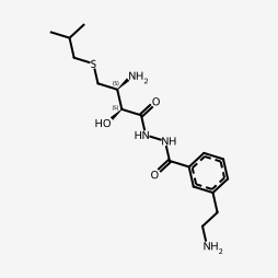 CC(C)CSC[C@@H](N)[C@H](O)C(=O)NNC(=O)c1cccc(CCN)c1